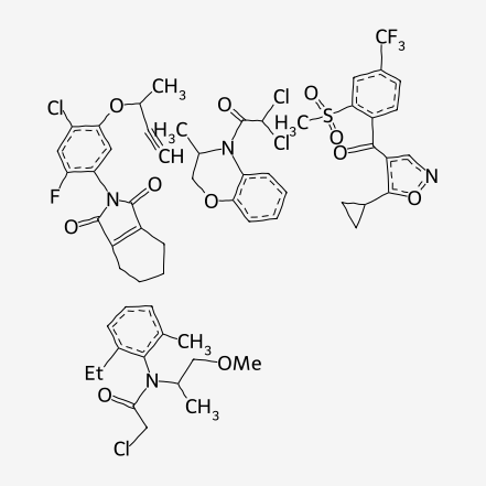 C#CC(C)Oc1cc(N2C(=O)C3=C(CCCC3)C2=O)c(F)cc1Cl.CC1COc2ccccc2N1C(=O)C(Cl)Cl.CCc1cccc(C)c1N(C(=O)CCl)C(C)COC.CS(=O)(=O)c1cc(C(F)(F)F)ccc1C(=O)c1cnoc1C1CC1